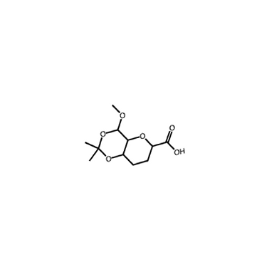 COC1OC(C)(C)OC2CCC(C(=O)O)OC21